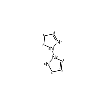 C1=CN(N2CCC=N2)[N]C1